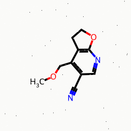 COCc1c(C#N)cnc2c1CCO2